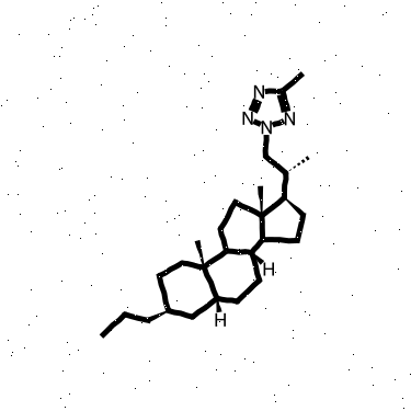 CCC[C@H]1CC[C@]2(C)C3CC[C@@]4(C)C(CC[C@@H]4[C@@H](C)Cn4nnc(C)n4)[C@@H]3CC[C@@H]2C1